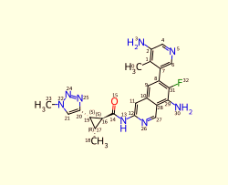 Cc1c(N)cncc1-c1cc2cc(NC(=O)[C@H]3[C@H](C)[C@@H]3c3cn(C)nn3)ncc2c(N)c1F